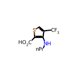 CCCNc1c(C(F)(F)F)csc1C(=O)O